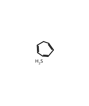 C1=CC=CCC=C1.S